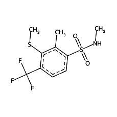 CNS(=O)(=O)c1ccc(C(F)(F)F)c(SC)c1C